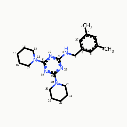 Cc1cc(C)cc(CNc2nc(N3CCCCC3)nc(N3CCCCC3)n2)c1